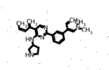 C=C/C(=C\N(C)C)c1cccc(-c2ncc(C(=C)/C=C\C)c(NC3CCNC3)n2)c1